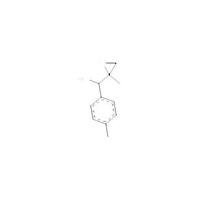 Cc1ccc(C(O)C2(C)CO2)cc1